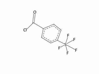 O=C(Cl)c1ccc(S(F)(F)(F)(F)F)cc1